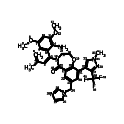 C=C(C)/C=C(\c1cc(OC)cc(OC)c1N)N1CCOc2c(cc(Cn3ccnc3)cc2-c2cn(C)nc2C(F)(F)F)C1=O